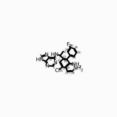 CC(Nc1ncnc2[nH]cnc12)c1cc(Cl)c(/C=C\N)c(N)c1-c1cccc(F)c1